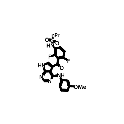 CCCS(=O)(=O)Nc1ccc(F)c(C(=O)c2c[nH]c3ncnc(Nc4cccc(OC)c4)c23)c1F